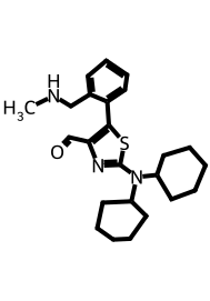 CNCc1ccccc1-c1sc(N(C2CCCCC2)C2CCCCC2)nc1C=O